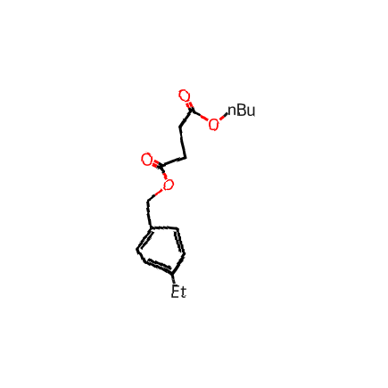 CCCCOC(=O)CCC(=O)OCc1ccc(CC)cc1